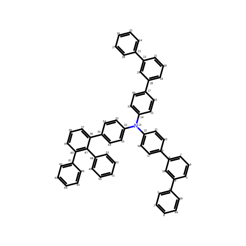 c1ccc(-c2cccc(-c3ccc(N(c4ccc(-c5cccc(-c6ccccc6)c5)cc4)c4ccc(-c5cccc(-c6ccccc6)c5-c5ccccc5)cc4)cc3)c2)cc1